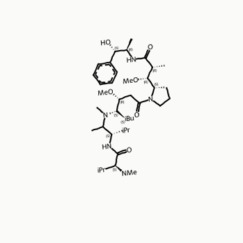 CC[C@H](C)[C@@H]([C@@H](CC(=O)N1CCC[C@H]1[C@H](OC)[C@@H](C)C(=O)N[C@H](C)[C@@H](O)c1ccccc1)OC)N(C)C(C)[C@@H](NC(=O)[C@@H](NC)C(C)C)C(C)C